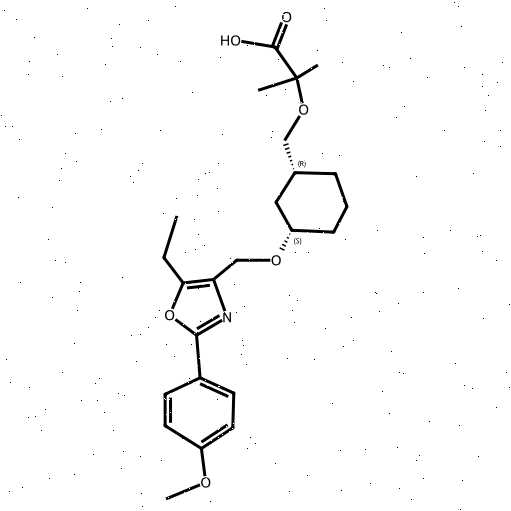 CCc1oc(-c2ccc(OC)cc2)nc1CO[C@H]1CCC[C@@H](COC(C)(C)C(=O)O)C1